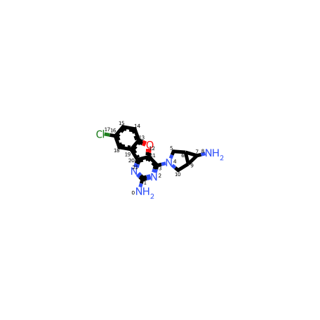 Nc1nc(N2CC3C(N)C3C2)c2oc3ccc(Cl)cc3c2n1